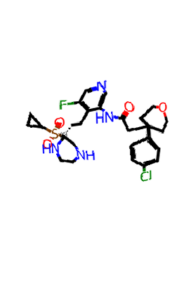 O=C(CC1(c2ccc(Cl)cc2)CCOCC1)Nc1cncc(F)c1CC[C@]1(S(=O)(=O)C2CC2)CNCCN1